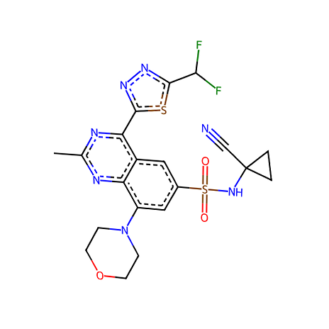 Cc1nc(-c2nnc(C(F)F)s2)c2cc(S(=O)(=O)NC3(C#N)CC3)cc(N3CCOCC3)c2n1